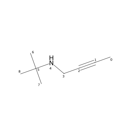 CC#CCNC(C)(C)C